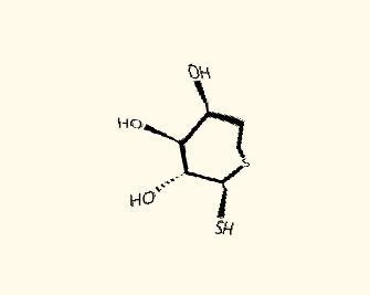 O[C@@H]1[C@@H](O)[C@@H](O)CS[C@H]1S